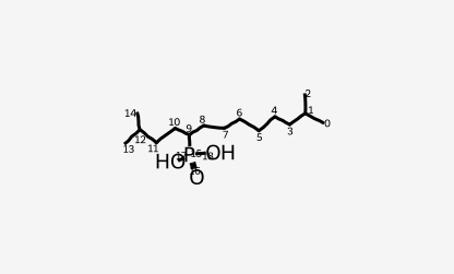 CC(C)CCCCCCC(CCC(C)C)P(=O)(O)O